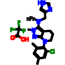 CCCN(Cc1c[nH]cn1)c1c2c(nn1C)N(c1c(C)cc(C)cc1Cl)CCC2.O=C(O)C(F)(F)F